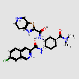 CN(C)C(=O)[C@H]1CC[C@H](NC(=O)c2cc3ccc(Cl)cc3cn2)[C@H](NC(=O)c2nc3c(s2)CNCC3)C1